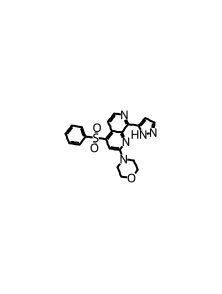 O=S(=O)(c1ccccc1)c1cc(N2CCOCC2)nc2c(-c3ccn[nH]3)nccc12